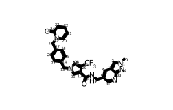 Cn1cc2cc(CNC(=O)c3cn(Cc4ccc(Cn5ccccc5=O)cc4)nc3C(F)(F)F)cnc2n1